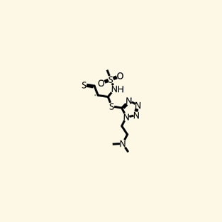 CN(C)CCn1nnnc1SC([CH]C=S)NS(C)(=O)=O